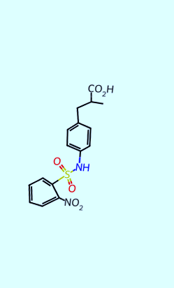 CC(Cc1ccc(NS(=O)(=O)c2ccccc2[N+](=O)[O-])cc1)C(=O)O